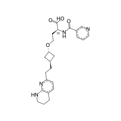 O=C(N[C@@H](CCO[C@H]1C[C@H](CCc2ccc3c(n2)NCCC3)C1)C(=O)O)c1cccnc1